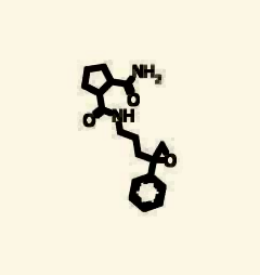 NC(=O)C1CCCC1C(=O)NCCCC1(c2ccccc2)CO1